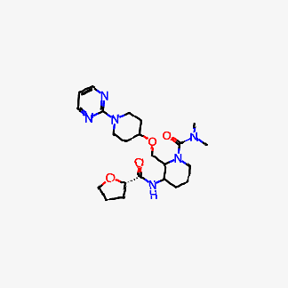 CN(C)C(=O)N1CCCC(NC(=O)[C@@H]2CCCO2)C1COC1CCN(c2ncccn2)CC1